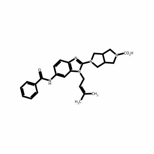 CC(C)=CCn1c(N2CC3CN(C(=O)O)CC3C2)nc2ccc(NC(=O)c3ccccc3)cc21